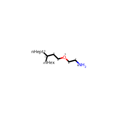 CCCCCCCC(CCCCCC)CCOCCN